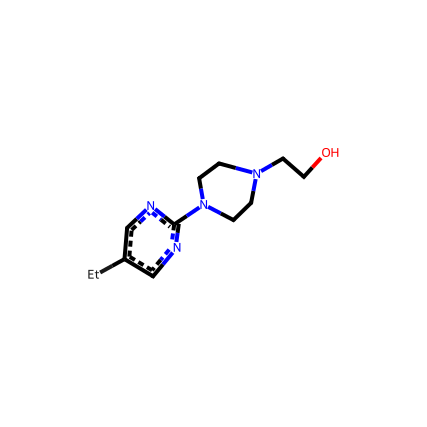 CCc1cnc(N2CCN(CCO)CC2)nc1